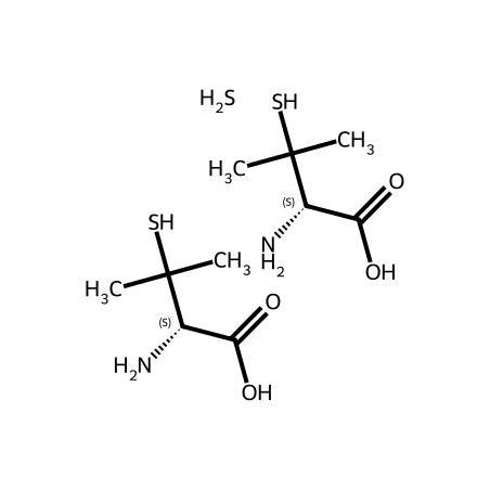 CC(C)(S)[C@@H](N)C(=O)O.CC(C)(S)[C@@H](N)C(=O)O.S